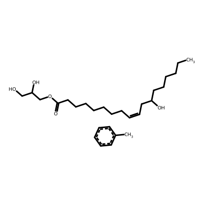 CCCCCCC(O)C/C=C\CCCCCCCC(=O)OCC(O)CO.Cc1ccccc1